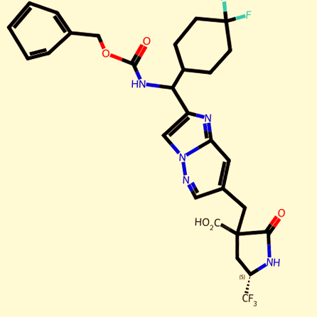 O=C(NC(c1cn2ncc(CC3(C(=O)O)C[C@@H](C(F)(F)F)NC3=O)cc2n1)C1CCC(F)(F)CC1)OCc1ccccc1